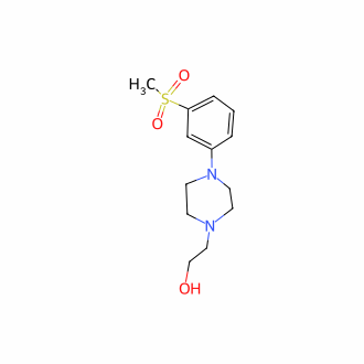 CS(=O)(=O)c1cccc(N2CCN(CCO)CC2)c1